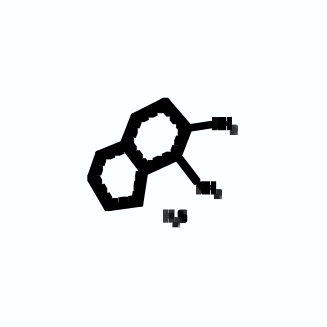 Nc1ccc2ccccc2c1N.S